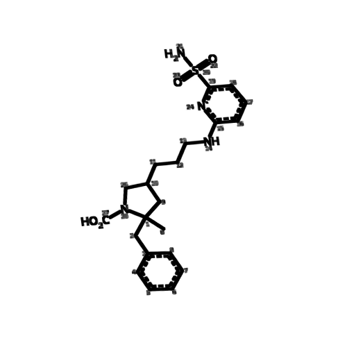 CC1(Cc2ccccc2)CC(CCCNc2cccc(S(N)(=O)=O)n2)CN1C(=O)O